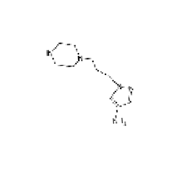 Nc1cnn(CCCN2CCNCC2)c1